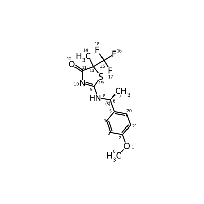 COc1ccc([C@H](C)NC2=NC(=O)C(C)(C(F)(F)F)S2)cc1